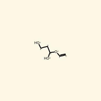 C=COC(O)CCO